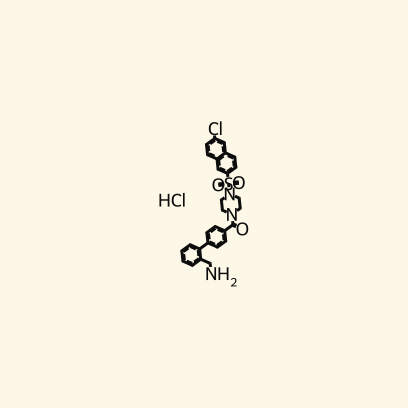 Cl.NCc1ccccc1-c1ccc(C(=O)N2CCN(S(=O)(=O)c3ccc4cc(Cl)ccc4c3)CC2)cc1